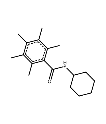 Cc1c(C)c(C)c(C(=O)PC2CCCCC2)c(C)c1C